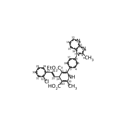 CCOC(=O)C1=C(c2ccc(-n3c(C)nc4ncccc43)cc2)NC(C)=C(C(=O)O)C1C=Cc1ccccc1Cl